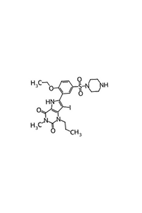 CCCn1c(=O)n(C)c(=O)c2[nH]c(-c3cc(S(=O)(=O)N4CCNCC4)ccc3OCC)c(I)c21